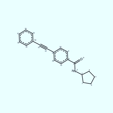 O=C(NC1CCCC1)c1ccc(C#Cc2ccccc2)cc1